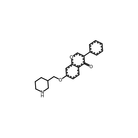 O=c1c(-c2ccccc2)coc2cc(OCC3CCCNC3)ccc12